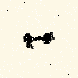 C=CCN1CC[C@]23c4c5ccc(O)c4OC2C(OCCOCCOCCOC2CC[C@@]4(O)C6Cc7ccc(C)c8c7[C@@]4(CCN6CC=C)[C@H]2O8)CC[C@@]3(O)C1C5